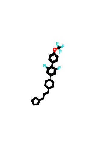 Fc1cc([C@H]2CC[C@H](CCCC3CCCC3)CC2)cc(F)c1-c1ccc(OC(F)(F)F)cc1